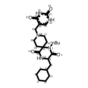 CCCCN1C(=O)C(CC2CCCCC2)NC(=O)C12CCN(Cc1c[nH]c(=O)[nH]c1=O)CC2